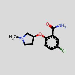 CN1CCC(Oc2ccc(Cl)cc2C(N)=O)C1